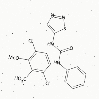 COc1c(Cl)ccc(Cl)c1C(=O)O.O=C(Nc1ccccc1)Nc1cnns1